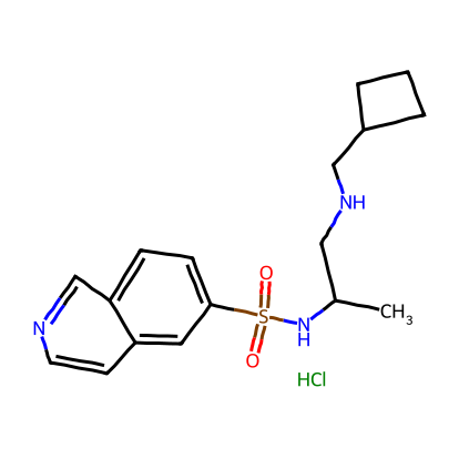 CC(CNCC1CCC1)NS(=O)(=O)c1ccc2cnccc2c1.Cl